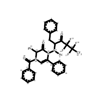 CC(=O)N(C(Cc1ccccc1)C(=O)C(F)(F)C(F)(F)C(F)(F)F)N1C(=O)C(C(C)C)N(C(=O)c2ccccc2)C=C1c1ccccc1